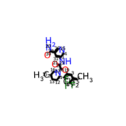 C=C(/C=C\C(=C/C)C(F)(F)F)[C@@H]1CC[C@@H](C)CN1C(=O)C(=O)Nc1cncc(C(N)=O)c1